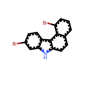 Brc1ccc2c(c1)[nH]c1ccc3cccc(Br)c3c12